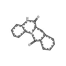 O=c1[nH]c2ccccc2n2c(=O)c3ccccc3cc12